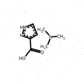 CN(C)C.O=C(O)c1cc[nH]n1